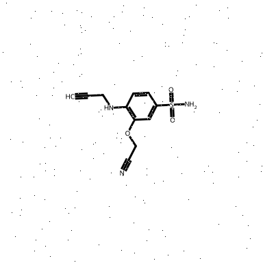 C#CCNc1ccc(S(N)(=O)=O)cc1OCC#N